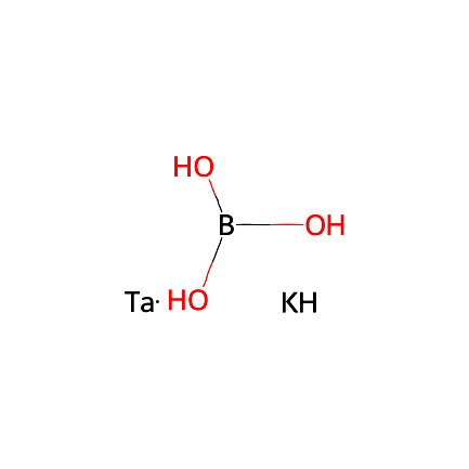 OB(O)O.[KH].[Ta]